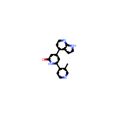 Cc1cnccc1-c1cc(-c2ccnc3[nH]ccc23)cc(=O)[nH]1